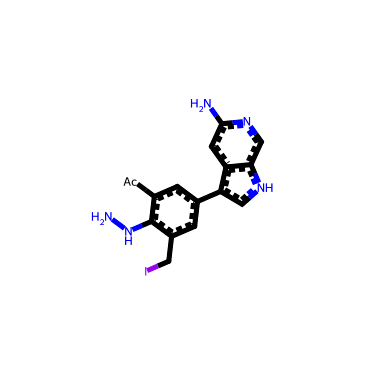 CC(=O)c1cc(-c2c[nH]c3cnc(N)cc23)cc(CI)c1NN